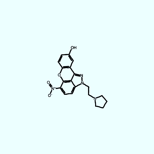 O=[N+]([O-])c1ccc2c3c(nn2CCN2CCCC2)-c2cc(O)ccc2Oc13